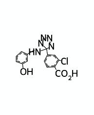 O=C(O)c1ccc(C2(NCc3cccc(O)c3)N=NN=N2)cc1Cl